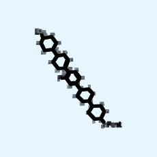 CCCCCC1CCC(C2CCC(c3ccc(C4=CCC(C5CCC(CC)CC5)CC4)c(F)c3)CC2)CC1